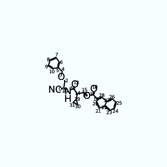 N#CC(COCc1ccccc1)NC(=O)C(COC(=O)c1ccc2ccccc2c1)C1CC1